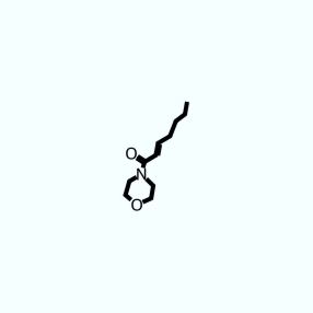 CCCC/C=C/C(=O)N1CCOCC1